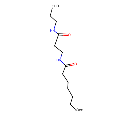 CCCCCCCCCCCCCCCC(=O)NCCC(=O)NCC[C]=O